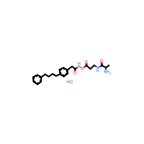 CC(N)C(=O)NCCC(=O)ONC(=O)Cc1ccc(CCCCc2ccccc2)cc1.Cl